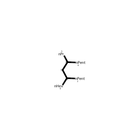 CCCCCCC(CCCCC)CC(CCC)CCCCC